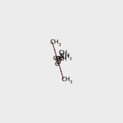 CCCCCCCCC=CCCCCCCCC(=O)OCC(COC(=O)CCCCCCCC=CCCCCCCCC)OC(=O)NCCN(C)CCCC